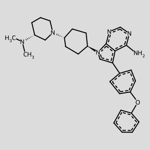 CN(C)[C@@H]1CCCN([C@H]2CC[C@H](n3cc(-c4ccc(Oc5ccccc5)cc4)c4c(N)ncnc43)CC2)C1